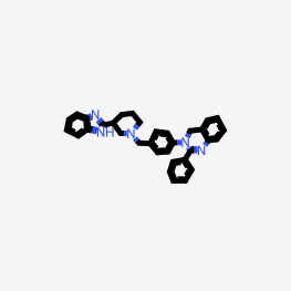 c1ccc(C2=Nc3ccccc3CN2c2ccc(CN3CCCC(c4nc5ccccc5[nH]4)C3)cc2)cc1